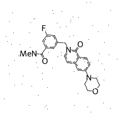 CNC(=O)c1cc(F)cc(Cn2ccc3cc(N4CCOCC4)ccc3c2=O)c1